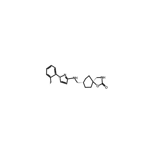 O=C1NC[C@]2(CC[C@@H](CNc3ccn(-c4ccccc4F)n3)CC2)O1